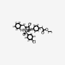 CCOC(=O)Cc1ccc(NC(=O)[C@H](Cc2ccccc2)NS(=O)(=O)c2ccc(Cl)cc2)cc1